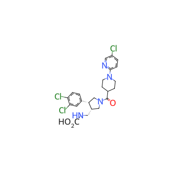 O=C(O)NC[C@H]1CN(C(=O)C2CCN(c3ccc(Cl)cn3)CC2)C[C@H]1c1ccc(Cl)c(Cl)c1